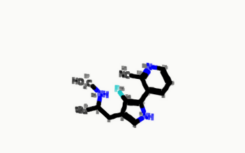 CC(C)(C)C(Cc1c[nH]c(-c2cccnc2C#N)c1F)NC(=O)O